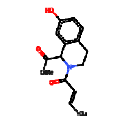 CCCCC=CC(=O)N1CCc2ccc(O)cc2C1C(=O)OC